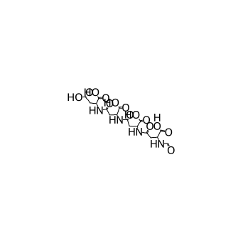 O=CNC(CC(=O)NC(CC(=O)NC(CC(=O)NC(CC(=O)O)C(=O)O)C(=O)O)C(=O)O)C(=O)O